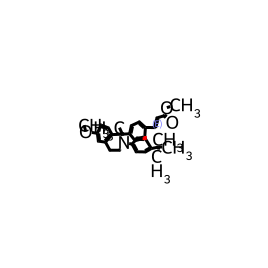 COC(=O)/C=C/c1ccc(C2(C)c3ccc(OC)cc3CCN2c2ccc(C(C)(C)C)cc2)cc1